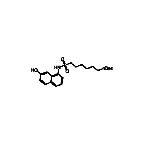 CCCCCCCCCCCCCCCCS(=O)(=O)Nc1cccc2ccc(O)cc12